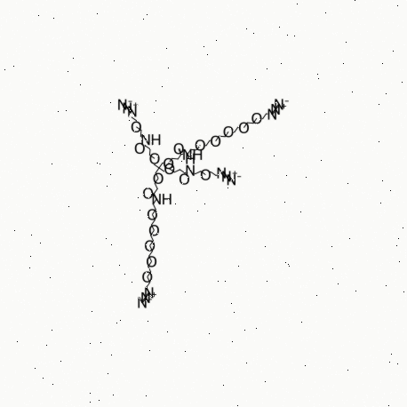 [N-]=[N+]=NCCOCCNC(=O)CCOCC(COCCC(=O)NCCOCCN=[N+]=[N-])(COCCC(=O)NCCOCCOCCOCCOCCOCCN=[N+]=[N-])COCCC(=O)NCCOCCOCCOCCOCCOCCN=[N+]=[N-]